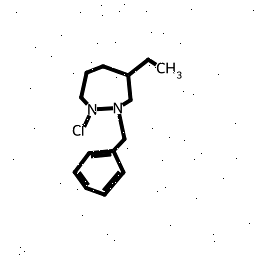 CCC1CCCN(Cl)N(Cc2ccccc2)C1